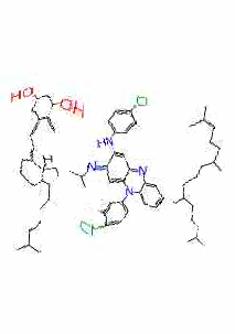 C=C1/C(=C\C=C2/CCC[C@]3(C)[C@@H]([C@H](C)CCCC(C)C)CC[C@@H]23)C[C@@H](O)CC1O.CC(C)/N=c1\cc2n(-c3ccc(Cl)cc3)c3ccccc3nc-2cc1Nc1ccc(Cl)cc1.CC(C)CCCC(C)CCCC(C)CCCC(C)C